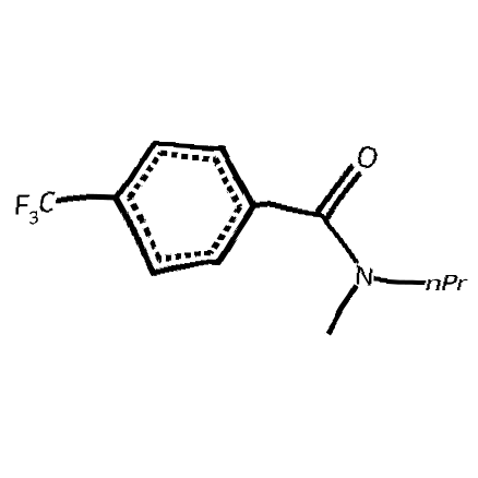 CCCN(C)C(=O)c1ccc(C(F)(F)F)cc1